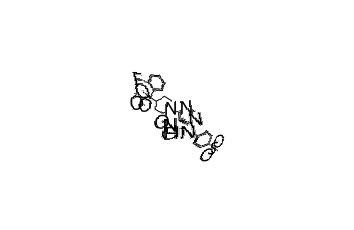 CS(=O)(=O)c1ccc(Nc2ncnc(N3CCC(C4(c5ccccc5F)OCOO4)CC3)c2[N+](=O)[O-])cc1